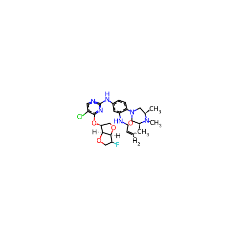 C=CC(=O)Nc1cc(Nc2ncc(Cl)c(O[C@H]3CO[C@@H]4[C@H]3OC[C@@H]4F)n2)ccc1N1C[C@@H](C)N(C)[C@@H](C)C1